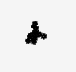 c1ccc(-c2ccc(-c3nc(-c4ccc5c(c4)oc4ccccc45)nc(-c4ccc5sc6c7ccccc7ccc6c5c4-n4c5ccccc5c5cc6ccccc6cc54)n3)cc2)cc1